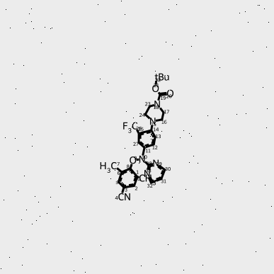 Cc1cc(C#N)cc(C)c1ON(c1ccc(N2CCN(C(=O)OC(C)(C)C)CC2)c(C(F)(F)F)c1)c1ncccn1